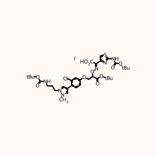 C[n+]1cc(-c2ccc(OCC(O/N=C(\C(=O)O)c3csc(NC(=O)OC(C)(C)C)n3)C(=O)OC(C)(C)C)cc2Cl)cn1CCCNC(=O)OC(C)(C)C.[I-]